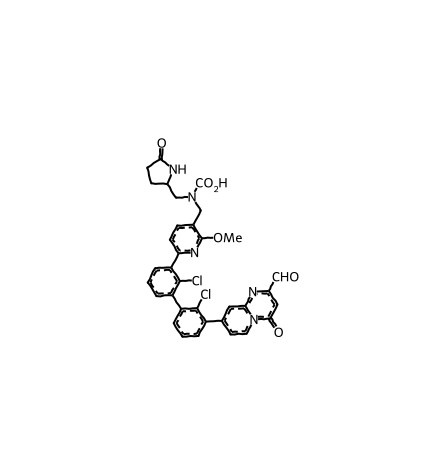 COc1nc(-c2cccc(-c3cccc(-c4ccn5c(=O)cc(C=O)nc5c4)c3Cl)c2Cl)ccc1CN(CC1CCC(=O)N1)C(=O)O